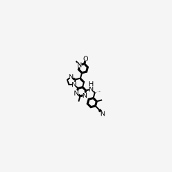 Cc1nc(N[C@H](C)c2cccc(C#N)c2C)c2c(n1)N1CCN=C1C(c1ccc(=O)n(C)c1)=C2